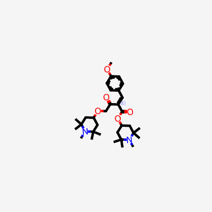 COc1ccc(/C=C(\C(=O)COC2CC(C)(C)N(C)C(C)(C)C2)C(=O)OC2CC(C)(C)N(C)C(C)(C)C2)cc1